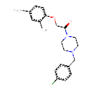 O=C(O)c1ccc(OCC(=O)N2CCN(Cc3ccc(Cl)cc3)CC2)c([N+](=O)[O-])c1